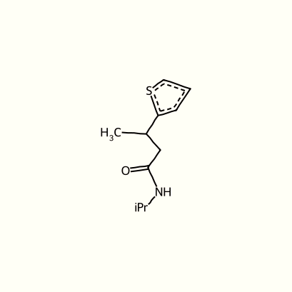 CC(C)NC(=O)CC(C)c1cccs1